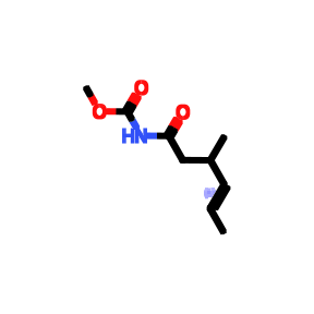 C/C=C/C(C)CC(=O)NC(=O)OC